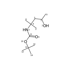 CC(O)CC(C)(C)NC(=O)OC(C)(C)C